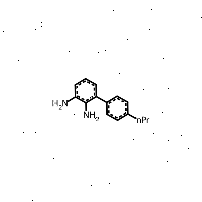 CCCc1ccc(-c2cccc(N)c2N)cc1